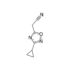 N#CCc1nc(C2CC2)no1